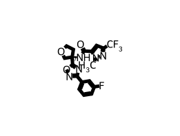 Cn1nc(C(F)(F)F)cc1C(=O)N[C@]1(c2nc(-c3cccc(F)c3)no2)CCOC1